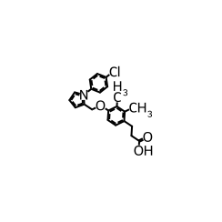 Cc1c(CCC(=O)O)ccc(OCc2cccn2-c2ccc(Cl)cc2)c1C